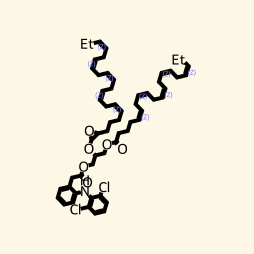 CC/C=C\C/C=C\C/C=C\C/C=C\C/C=C\CCCC(=O)OCC(COC(=O)Cc1ccccc1Nc1c(Cl)cccc1Cl)OC1OC1CCC/C=C\C/C=C\C/C=C\C/C=C\C/C=C\CC